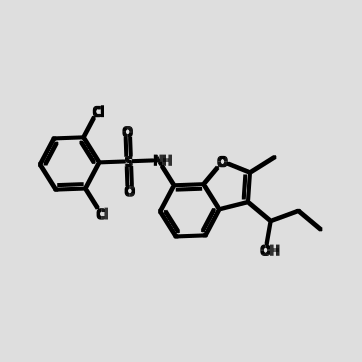 CCC(O)c1c(C)oc2c(NS(=O)(=O)c3c(Cl)cccc3Cl)cccc12